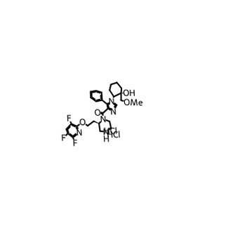 COC[C@]1(O)CCCC[C@H]1n1cnc(C(=O)N2CCNC[C@H]2CCOc2nc(F)c(F)cc2F)c1-c1ccccc1.Cl.Cl